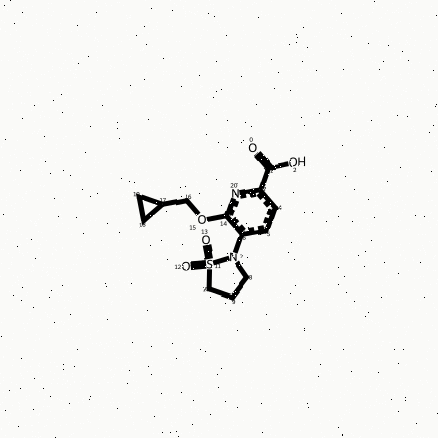 O=C(O)c1ccc(N2CCCS2(=O)=O)c(OCC2CC2)n1